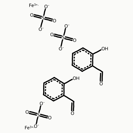 O=Cc1ccccc1O.O=Cc1ccccc1O.O=S(=O)([O-])[O-].O=S(=O)([O-])[O-].O=S(=O)([O-])[O-].[Fe+3].[Fe+3]